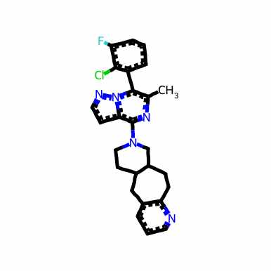 Cc1nc(N2CCC3Cc4cccnc4CCC3C2)c2ccnn2c1-c1cccc(F)c1Cl